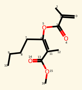 C=C(C)C(=O)OC(CCCC)=C(C)C(=O)OC